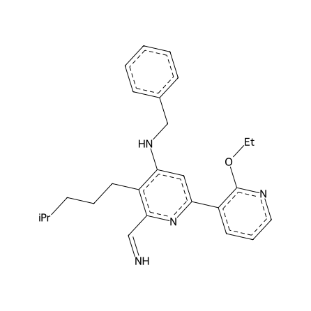 CCOc1ncccc1-c1cc(NCc2ccccc2)c(CCCC(C)C)c(C=N)n1